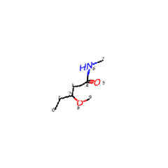 CCC(CC(=O)NC)OC